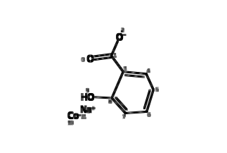 O=C([O-])c1ccccc1O.[Co].[Na+]